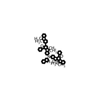 CC1(C)c2ccccc2-c2ccc(-c3cc4c(c5c3oc3ccccc35)-c3ccc(N(c5ccc6c(c5)C(C)(C)c5c7c(c8oc9ccccc9c8c5-6)-c5ccccc5C7(C)C)c5ccc6ccccc6c5)cc3C4(C)C)cc21